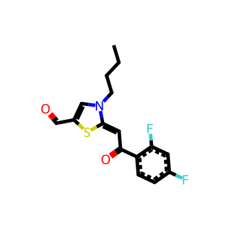 CCCCN1C=C(C=O)SC1=CC(=O)c1ccc(F)cc1F